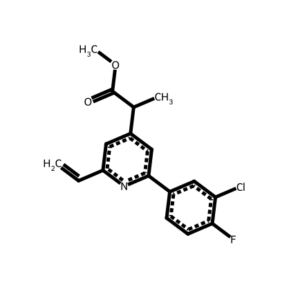 C=Cc1cc(C(C)C(=O)OC)cc(-c2ccc(F)c(Cl)c2)n1